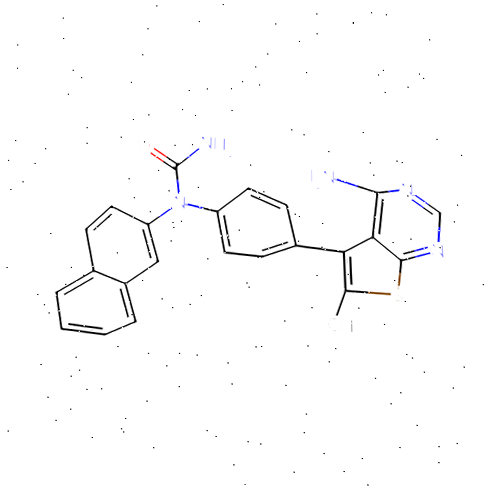 Cc1sc2ncnc(N)c2c1-c1ccc(N(C(N)=O)c2ccc3ccccc3c2)cc1